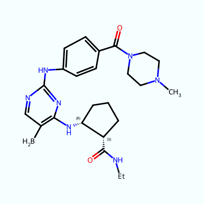 Bc1cnc(Nc2ccc(C(=O)N3CCN(C)CC3)cc2)nc1N[C@@H]1CCC[C@@H]1C(=O)NCC